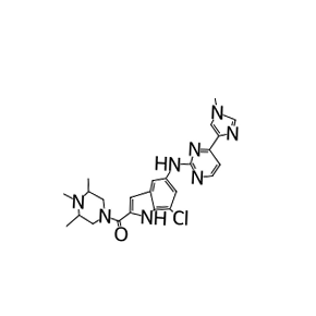 CC1CN(C(=O)c2cc3cc(Nc4nccc(-c5cn(C)cn5)n4)cc(Cl)c3[nH]2)CC(C)N1C